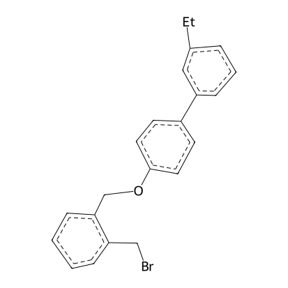 CCc1cccc(-c2ccc(OCc3ccccc3CBr)cc2)c1